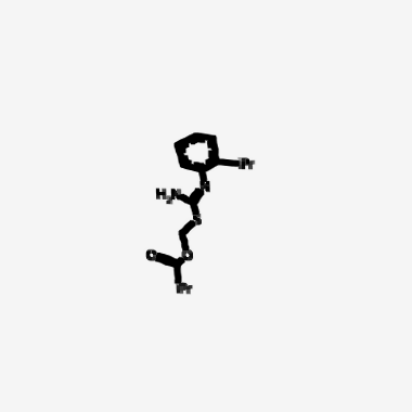 CC(C)C(=O)OCS/C(N)=N/c1ccccc1C(C)C